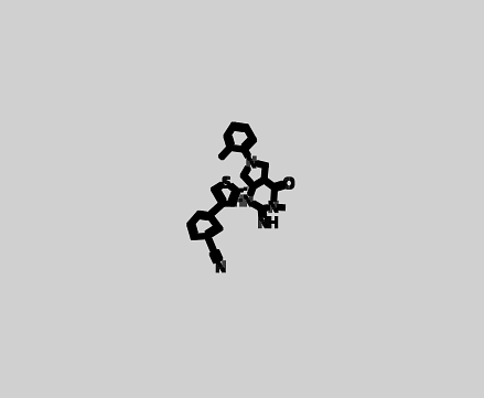 Cc1ccccc1N1CC2C(=O)N(C)C(=N)N[C@@]2(c2cc(-c3cccc(C#N)c3)cs2)C1